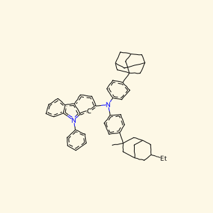 CCC1CC2CC(C1)CC(C)(c1ccc(N(c3ccc(C45CC6CC(CC(C6)C4)C5)cc3)c3ccc4c5ccccc5n(-c5ccccc5)c4c3)cc1)C2